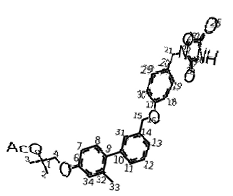 CC(=O)OC(C)(C)COc1ccc(-c2cccc(COc3ccc(Cn4oc(=O)[nH]c4=O)cc3)c2)c(C)c1